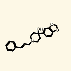 OC1(c2ccc3c(c2)OCO3)CCN(C/C=C/c2ccccc2)CC1